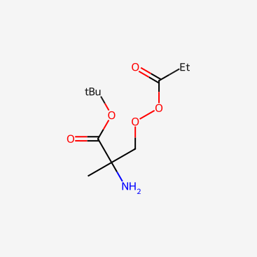 CCC(=O)OOCC(C)(N)C(=O)OC(C)(C)C